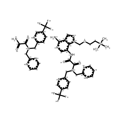 C[Si](C)(C)CCOCn1ncc2c(N)ncc(NC(=O)C(=O)N(Cc3ccc(C(F)(F)F)cn3)Cc3ncccn3)c21.NC(=O)C(=O)N(Cc1ccc(C(F)(F)F)cn1)Cc1ncccn1